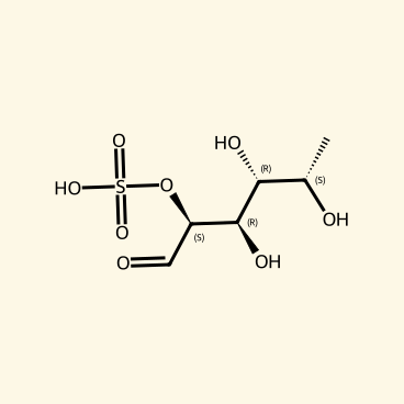 C[C@H](O)[C@@H](O)[C@@H](O)[C@@H](C=O)OS(=O)(=O)O